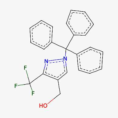 OCc1cn(C(c2ccccc2)(c2ccccc2)c2ccccc2)nc1C(F)(F)F